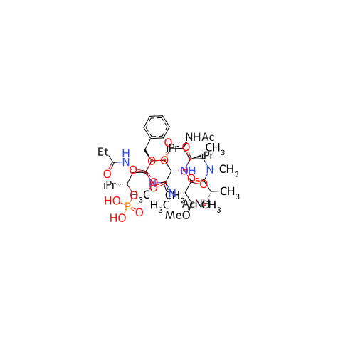 C=CN(C)C(=O)[C@@H](Cc1ccccc1)OC(=O)[C@@H](NC(C)=O)[C@H](OC(=O)[C@H]([C@@H](C)OC)N(C)C(=O)[C@@H](NC(=O)[C@H](C)N(C)C(=O)[C@H](C)NC(C)=O)[C@H](OC(=O)[C@@H](NC(=O)CC)[C@H](OP(=O)(O)O)C(C)C)C(C)C)C(C)C